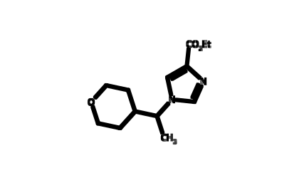 CCOC(=O)c1cn(C(C)C2CCOCC2)cn1